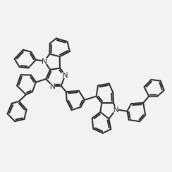 c1ccc(-c2cccc(-c3nc(-c4cccc(-c5cccc6c5c5ccccc5n6-c5cccc(-c6ccccc6)c5)c4)nc4c5ccccc5n(-c5ccccc5)c34)c2)cc1